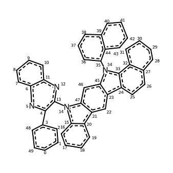 c1ccc(-c2nc3ccccc3nc2-n2c3ccccc3c3cc4c5ccc6ccccc6c5n(-c5cccc6ccccc56)c4cc32)cc1